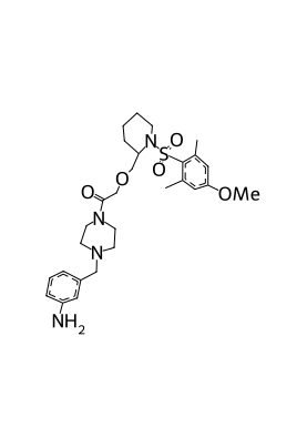 COc1cc(C)c(S(=O)(=O)N2CCCCC2COCC(=O)N2CCN(Cc3cccc(N)c3)CC2)c(C)c1